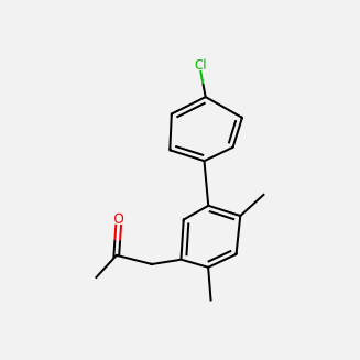 CC(=O)Cc1cc(-c2ccc(Cl)cc2)c(C)cc1C